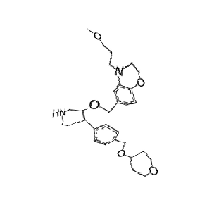 COCCCN1CCOc2ccc(COC3CNCCC3c3ccc(COC4CCOCC4)cc3)cc21